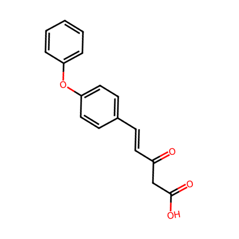 O=C(O)CC(=O)/C=C/c1ccc(Oc2ccccc2)cc1